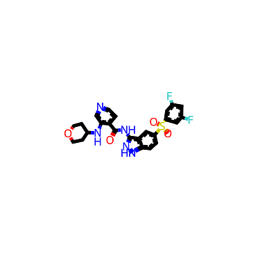 O=C(Nc1n[nH]c2ccc(S(=O)(=O)c3cc(F)cc(F)c3)cc12)c1ccncc1NC1CCOCC1